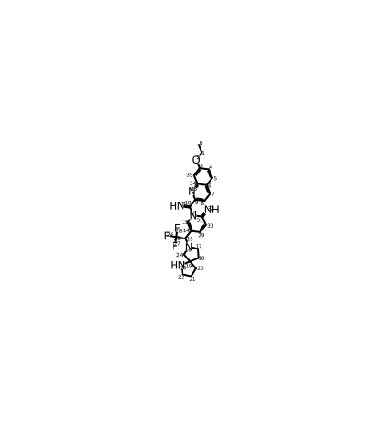 CCOc1ccc2ccc(C(=N)n3cc([C@@H](N4CCC5(CCCN5)C4)C(F)(F)F)ccc3=N)nc2c1